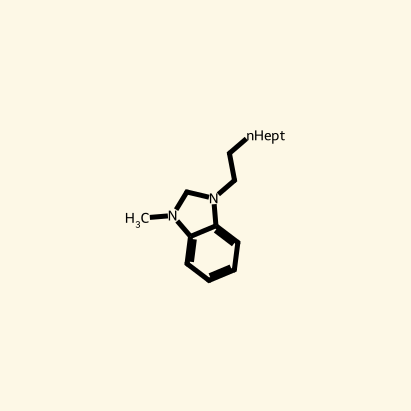 CCCCCCCCCN1CN(C)c2ccccc21